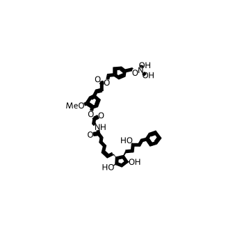 COc1cc(/C=C/C(=O)OCc2ccc(CON(O)O)cc2)ccc1OC(=O)CNC(=O)CCC/C=C\C[C@@H]1[C@@H](CC[C@@H](O)CCc2ccccc2)[C@H](O)C[C@@H]1O